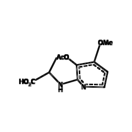 COc1ccnc(NC(C)C(=O)O)c1OC(C)=O